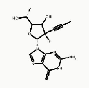 C=C1NC(N)=Nc2c1ncn2[C@@H]1OC([C@@H](C)O)C(O)[C@]1(F)C#CC